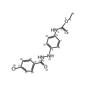 CCOC(=S)Nc1ccc(NNC(=O)c2ccc(Cl)cc2)cc1